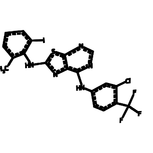 Cc1cccc(I)c1Nc1nc2c(Nc3ccc(C(F)(F)F)c(Cl)c3)ncnc2s1